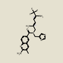 Cc1cc2cc(C(=O)N(C/C(N)=C/C=C(\N)C(F)(F)F)Cc3cscn3)ccc2nc1N